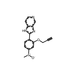 C#CCOc1cc([S+](C)[O-])ccc1-c1nc2cnccc2[nH]1